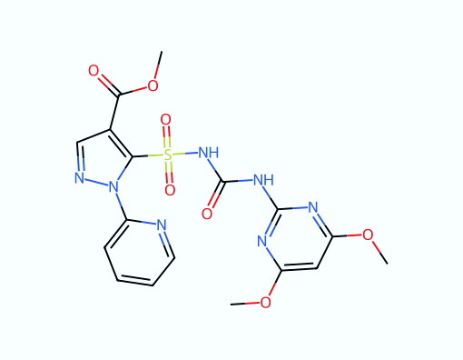 COC(=O)c1cnn(-c2ccccn2)c1S(=O)(=O)NC(=O)Nc1nc(OC)cc(OC)n1